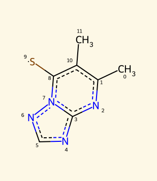 Cc1nc2ncnn2c([S])c1C